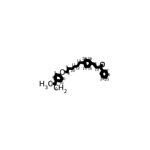 C=C(C)c1ccc(OCCCCCCc2ccc(C=CC(=O)c3ccccc3)cc2)cc1